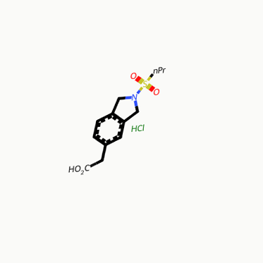 CCCS(=O)(=O)N1Cc2ccc(CC(=O)O)cc2C1.Cl